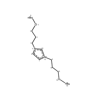 CCCCOCCCn1cc[n+](CCCOCCCC)c1